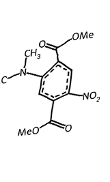 COC(=O)c1cc([N+](=O)[O-])c(C(=O)OC)cc1N(C)C